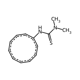 CN(C)C(=S)Nc1ccccccccc1